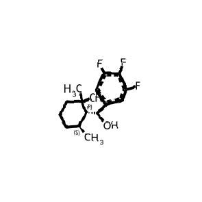 C[C@H]1CCCC(C)(C)[C@@H]1C(O)c1cc(F)c(F)c(F)c1